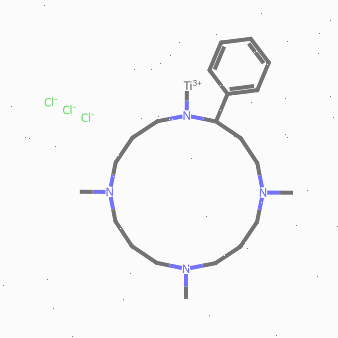 CN1CCCN(C)CCC[N]([Ti+3])C(c2ccccc2)CCN(C)CCC1.[Cl-].[Cl-].[Cl-]